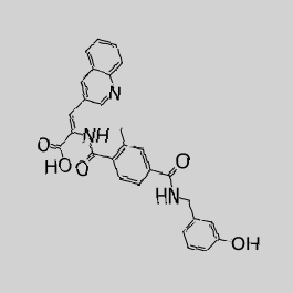 Cc1cc(C(=O)NCc2cccc(O)c2)ccc1C(=O)N/C(=C\c1cnc2ccccc2c1)C(=O)O